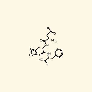 N[C@@H](CC(=O)O)C(=O)N[C@@H](Cc1c[nH]cn1)C(=O)N[C@H](Cc1ccccc1)C(=O)O